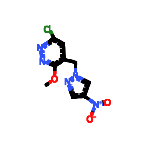 COc1nnc(Cl)cc1Cn1cc([N+](=O)[O-])cn1